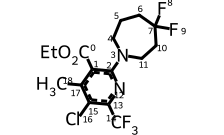 CCOC(=O)c1c(N2CCCC(F)(F)CC2)nc(C(F)(F)F)c(Cl)c1C